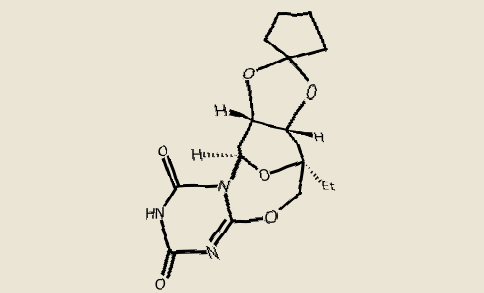 CC[C@]12COc3nc(=O)[nH]c(=O)n3[C@H](O1)[C@@H]1OC3(CCCC3)O[C@@H]12